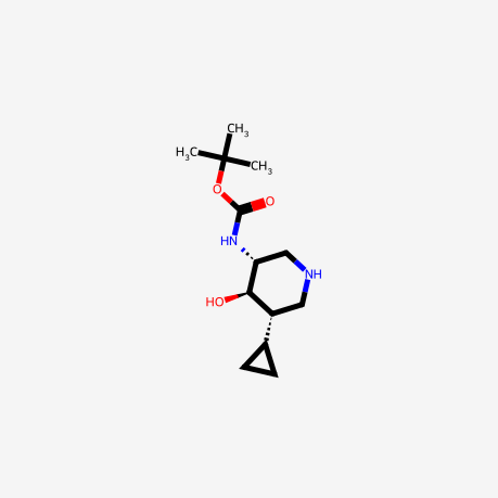 CC(C)(C)OC(=O)N[C@@H]1CNC[C@H](C2CC2)[C@H]1O